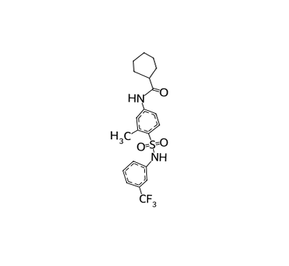 Cc1cc(NC(=O)C2CCCCC2)ccc1S(=O)(=O)Nc1cccc(C(F)(F)F)c1